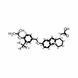 CC(C)Oc1ccc(COc2ccc3c(c2)cc2n3CCC[C@H]2CC(=O)O)cc1C(F)(F)F